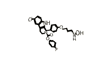 O=C(Oc1ccc(F)cc1)N1CCc2c([nH]c3ccc(Cl)cc23)C1c1ccc(OCCCCNO)cc1